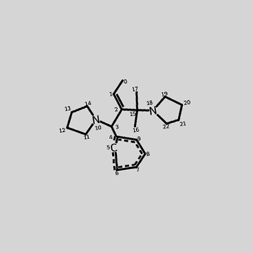 CC=C(C(c1ccccc1)N1CCCC1)C(C)(C)N1CCCC1